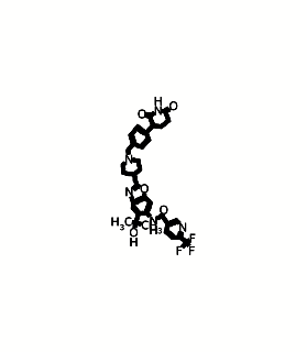 CC(C)(O)c1cc2nc(C3CCN(Cc4ccc(C5CCC(=O)NC5=O)cc4)CC3)oc2cc1NC(=O)c1ccc(C(F)(F)F)nc1